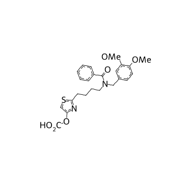 COc1ccc(CN(CCCCc2nc(OC(=O)O)cs2)C(=O)c2ccccc2)cc1OC